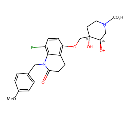 COc1ccc(CN2C(=O)CCc3c(OC[C@@]4(O)CCN(C(=O)O)C[C@H]4O)ccc(F)c32)cc1